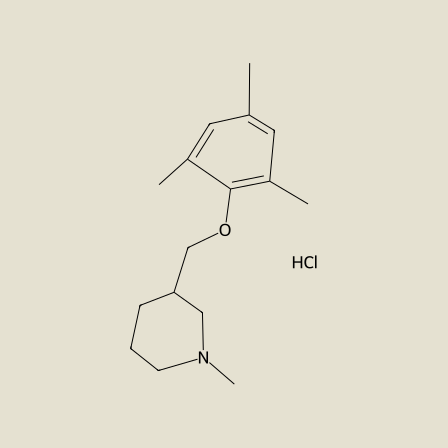 Cc1cc(C)c(OCC2CCCN(C)C2)c(C)c1.Cl